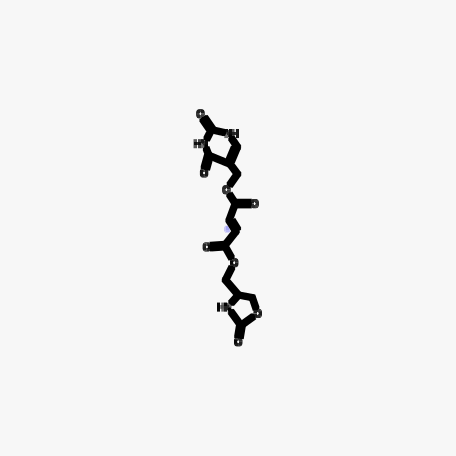 O=C(/C=C/C(=O)OCC1COC(=O)N1)OCc1c[nH]c(=O)[nH]c1=O